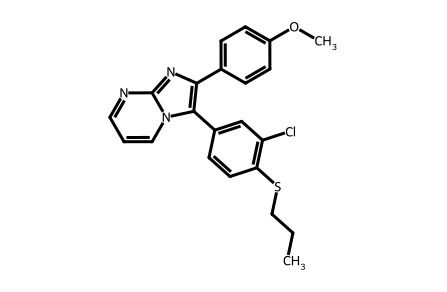 CCCSc1ccc(-c2c(-c3ccc(OC)cc3)nc3ncccn23)cc1Cl